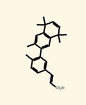 CCOC(=O)/C=C/c1ccc(C)c(-c2cc3c(cc2C)C(C)(C)C=CC3(C)C)c1